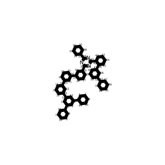 c1ccc(-c2cc(-c3ccccc3)cc(-c3cccc(-c4cccc(-c5cccc(-c6nc(-c7ccccc7)nc(-c7ccccc7-c7cccc(-c8ccccc8)c7)n6)c5)c4)c3)c2)cc1